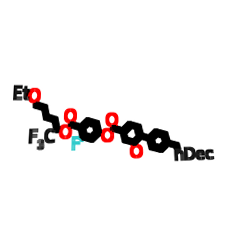 CCCCCCCCCCCc1ccc(C2=CC=C(C(=O)Oc3ccc(C(=O)OC(CCCCOCC)C(F)(F)F)c(F)c3)CC2=O)cc1